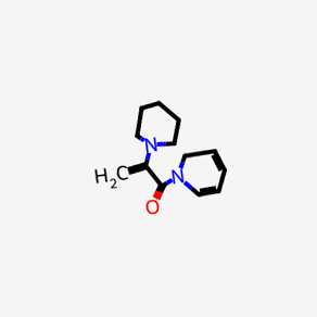 C=C(C(=O)N1C=CC=CC1)N1CCCCC1